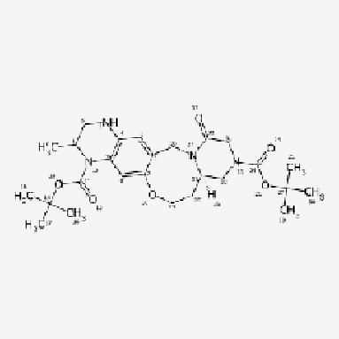 CC1CNc2cc3c(cc2N1C(=O)OC(C)(C)C)OCC[C@@H]1CN(C(=O)OC(C)(C)C)CC(=O)N1C3